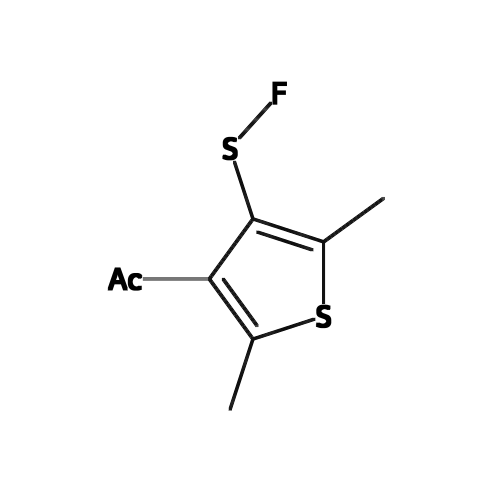 CC(=O)c1c(C)sc(C)c1SF